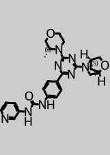 C[C@@H]1COCCN1c1nc(-c2ccc(NC(=O)Nc3cccnc3)cc2)nc(N2C[C@@H]3C[C@H]2CO3)n1